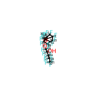 O=C1C2(F)C(F)(F)C3(F)C(F)(F)C1(F)C(F)(OC(F)(F)C(O)(F)C(F)(F)C(F)(F)C(F)(F)F)C(F)(C2(F)F)C3(F)F